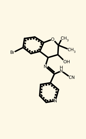 CC1(C)Oc2ccc(Br)cc2C(N=C(NC#N)c2cccnc2)C1O